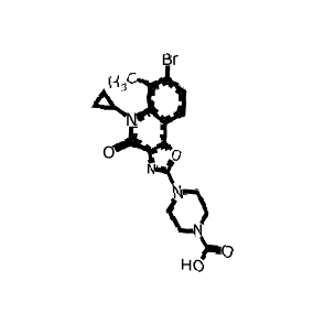 Cc1c(Br)ccc2c3oc(N4CCN(C(=O)O)CC4)nc3c(=O)n(C3CC3)c12